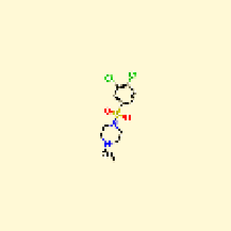 CN1CCN(S(=O)(=O)c2ccc(Cl)c(Cl)c2)CC1